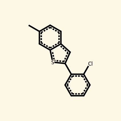 Cc1ccc2cc(-c3ccccc3Cl)sc2c1